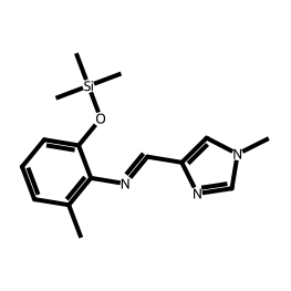 Cc1cccc(O[Si](C)(C)C)c1N=Cc1cn(C)cn1